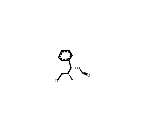 C[C@@H](CCl)[C@@H](OC=O)c1ccccc1